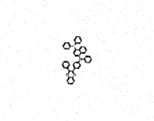 c1ccc(-c2nc3ccccc3nc2-c2ccc(N(c3ccccc3)c3ccc(N(c4ccccc4)c4ccccc4)c4ccccc34)cc2)cc1